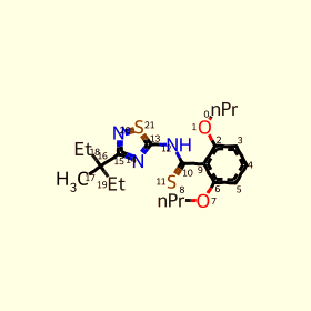 CCCOc1cccc(OCCC)c1C(=S)Nc1nc(C(C)(CC)CC)ns1